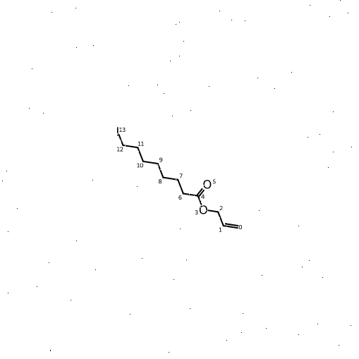 C=CCOC(=O)CCCCCCCI